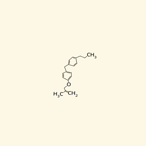 C=C(C)COc1ccc(Cc2ccc(CCC)cc2)cc1